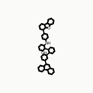 Oc1cccc(Nc2ccc(-c3cccc4c3oc3ccccc34)cc2)c1-c1ccccc1-c1cccc(-c2cc3ccccc3c3ccccc23)c1